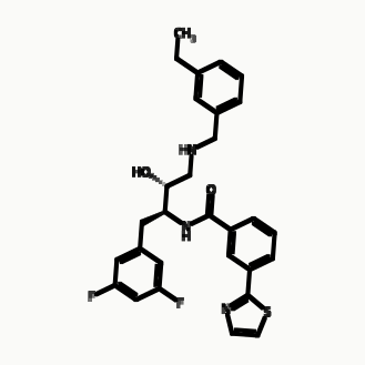 CCc1cccc(CNC[C@@H](O)[C@H](Cc2cc(F)cc(F)c2)NC(=O)c2cccc(-c3nccs3)c2)c1